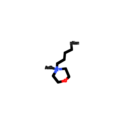 CCCCCCCCCCCCC[N+]1(OC(C)=O)CCOCC1